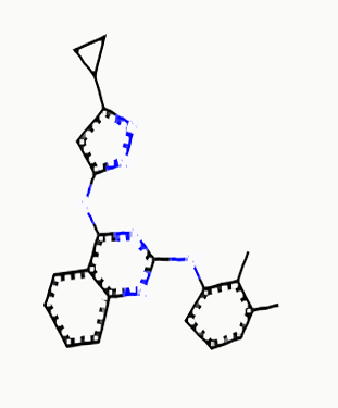 Cc1cccc(Nc2nc(Nc3cc(C4CC4)n[nH]3)c3ccccc3n2)c1C